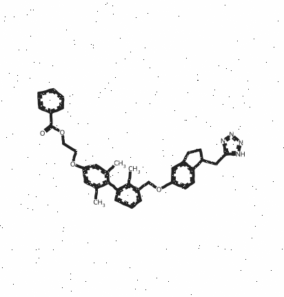 Cc1cc(OCCOC(=O)c2ccccc2)cc(C)c1-c1cccc(COc2ccc3c(c2)CCC3Cc2nnn[nH]2)c1C